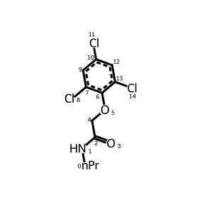 CCCNC(=O)COc1c(Cl)cc(Cl)cc1Cl